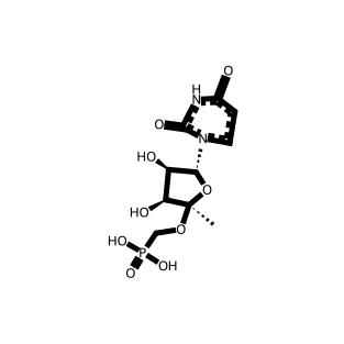 C[C@@]1(OCP(=O)(O)O)O[C@@H](n2ccc(=O)[nH]c2=O)[C@H](O)[C@@H]1O